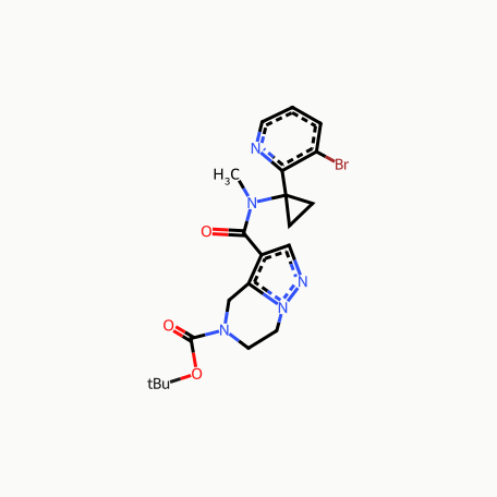 CN(C(=O)c1cnn2c1CN(C(=O)OC(C)(C)C)CC2)C1(c2ncccc2Br)CC1